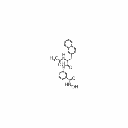 CC(=O)NC(Cc1ccc2ccccc2c1)C(=O)Nc1cccc(C(=O)NO)c1